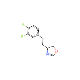 Fc1ccc(CCC2CO[C]=N2)cc1F